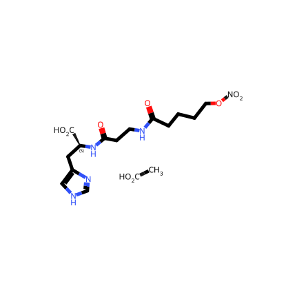 CC(=O)O.O=C(CCCCO[N+](=O)[O-])NCCC(=O)N[C@@H](Cc1c[nH]cn1)C(=O)O